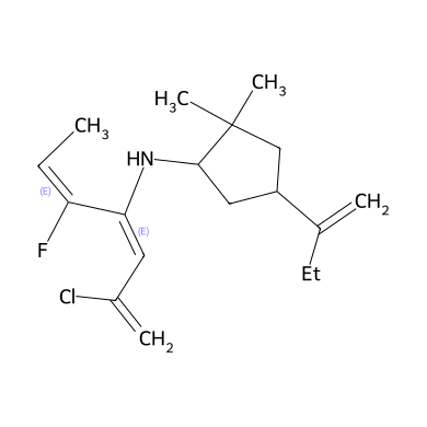 C=C(Cl)/C=C(NC1CC(C(=C)CC)CC1(C)C)\C(F)=C/C